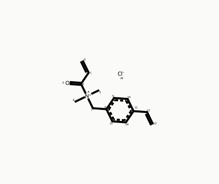 C=CC(=O)[N+](C)(C)Cc1ccc(C=C)cc1.[Cl-]